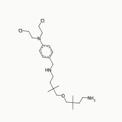 CC(C)(CCN)COCC(C)(C)CCNCc1ccc(N(CCCl)CCCl)cc1